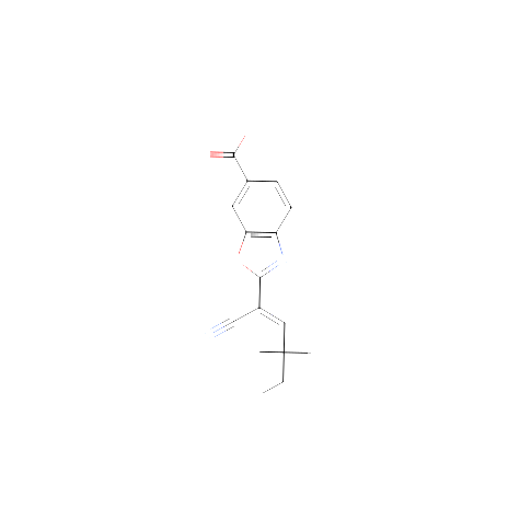 CCC(C)(C)/C=C(\C#N)c1nc2ccc(C(=O)O)cc2o1